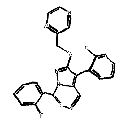 Fc1ccccc1-c1c(OCc2cnccn2)nn2c(-c3ccccc3F)nncc12